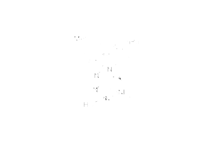 CCCCc1ccc(-n2c(-c3ccc(SC)cc3)nc3nc(C)nc(N)c3c2=O)cc1